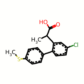 CSc1ccc(-c2ccc(Cl)cc2C(C)C(=O)O)cc1